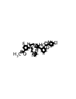 COC(=O)c1cc(F)c2nc(CN3C[C@@H]4C(c5cccc6c5O[C@](C)(c5ccc(Cl)cn5)O6)[C@@H]4C3)n(CCn3cccn3)c2c1